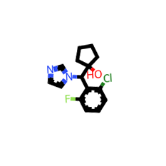 OC1(C(c2c(F)cccc2Cl)n2ccnc2)CCCC1